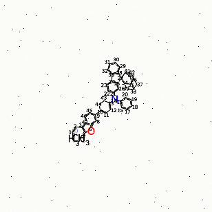 C/C=C\c1c(C)oc2cc(C3=CC=C(N(c4ccccc4)c4ccc5c(c4)C4(c6ccccc6-5)C5CC6CC(C5)CC4C6)CC3)ccc12